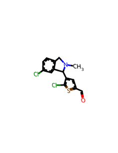 CN1Cc2ccc(Cl)cc2C1c1cc(C=O)sc1Cl